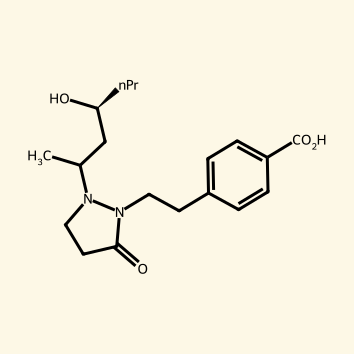 CCC[C@H](O)CC(C)N1CCC(=O)N1CCc1ccc(C(=O)O)cc1